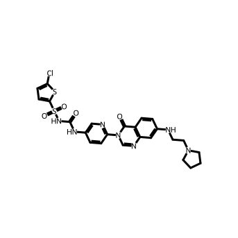 O=C(Nc1ccc(-n2cnc3cc(NCCN4CCCC4)ccc3c2=O)nc1)NS(=O)(=O)c1ccc(Cl)s1